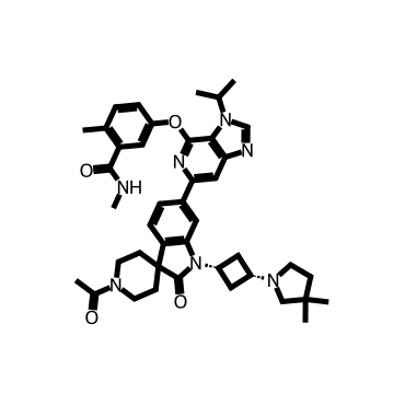 CNC(=O)c1cc(Oc2nc(-c3ccc4c(c3)N([C@H]3C[C@@H](N5CCC(C)(C)C5)C3)C(=O)C43CCN(C(C)=O)CC3)cc3ncn(C(C)C)c23)ccc1C